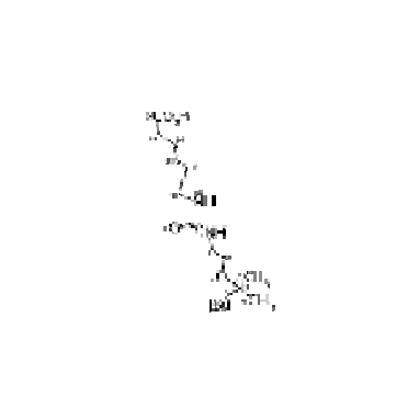 CC(C)(C)[Si](C)(C)OCCNC(=O)NCCCCCC(=O)O